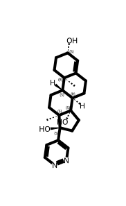 C[C@]12CC[C@H]3[C@@H](CCC4=C[C@@H](O)CC[C@@]43C)[C@@]1(O)CC[C@]2(O)c1ccnnc1